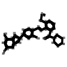 CCCOc1cccc(C(=O)N2CCCCC2)c1C=Cc1ccc(-c2cc3cc(F)cc(I)c3o2)cc1I